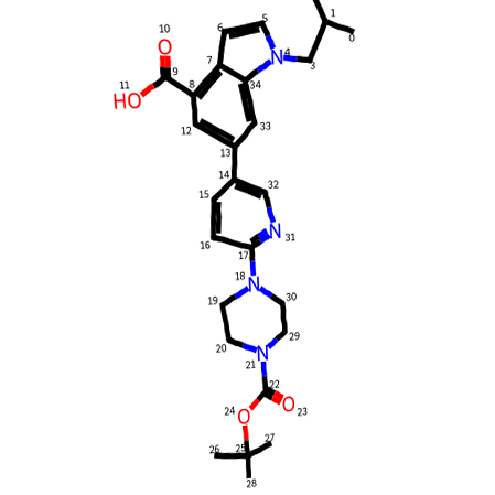 CC(C)Cn1ccc2c(C(=O)O)cc(-c3ccc(N4CCN(C(=O)OC(C)(C)C)CC4)nc3)cc21